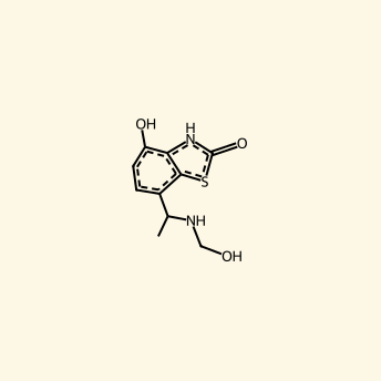 CC(NCO)c1ccc(O)c2[nH]c(=O)sc12